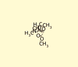 CCOC(=O)C[C@H]1OC(C)(C)O[C@@H]1CN(C)C